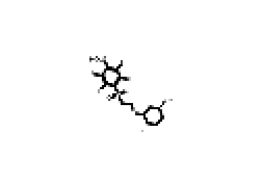 CC(C)[C@H]1CC[C@H](C)C(OCCS(=O)(=O)c2c(F)c(F)c(S(=O)(=O)O)c(F)c2F)C1